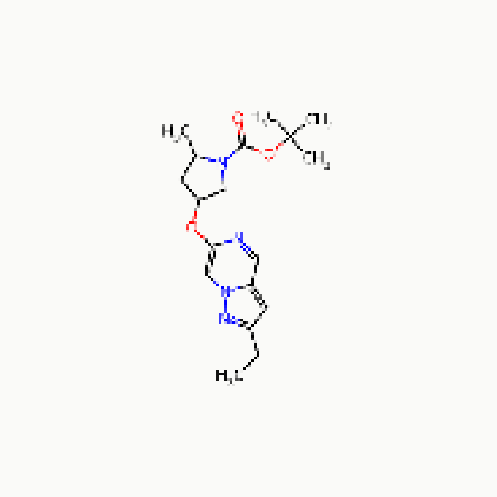 CCc1cc2cnc(OC3CC(C)N(C(=O)OC(C)(C)C)C3)cn2n1